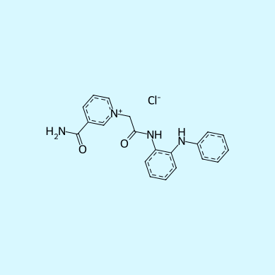 NC(=O)c1ccc[n+](CC(=O)Nc2ccccc2Nc2ccccc2)c1.[Cl-]